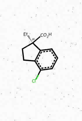 CC[C@@]1(C(=O)O)CCc2c(Cl)cccc21